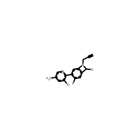 C#CCN1c2cc(-c3ncc(C(F)(F)F)cc3Cl)c(F)cc2C1Cl